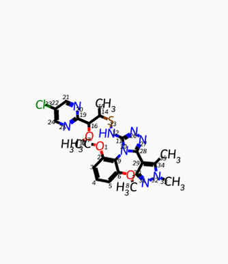 COc1cccc(OC)c1-n1c(NSC(C)C(OC)c2ncc(Cl)cn2)nnc1-c1cnn(C)c1C